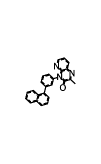 Cc1nc2cccnc2n(-c2cccc(-c3cccc4ccccc34)c2)c1=O